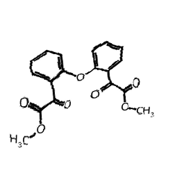 COC(=O)C(=O)c1ccccc1Oc1ccccc1C(=O)C(=O)OC